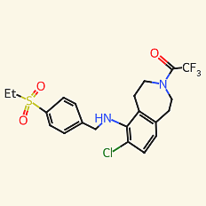 CCS(=O)(=O)c1ccc(CNc2c(Cl)ccc3c2CCN(C(=O)C(F)(F)F)CC3)cc1